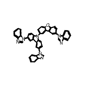 c1ccc2c(c1)ncn2-c1ccc2oc3ccc(-n4c5ccc(-n6cnc7ccccc76)cc5c5cc(-n6cnc7ccccc76)ccc54)cc3c2c1